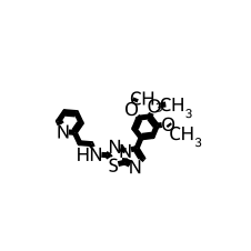 COc1cc(-c2cnc3sc(NCCc4ccccn4)nn23)cc(OC)c1OC